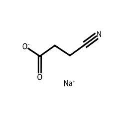 N#CCCC(=O)[O-].[Na+]